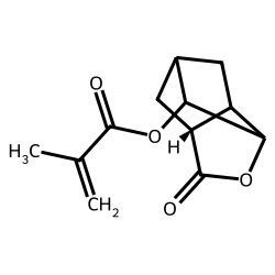 C=C(C)C(=O)OC1C2CC3C1OC(=O)[C@@H]3C2